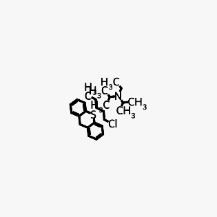 CCCCCCl.CCN(C(C)C)C(C)C.c1ccc2c(c1)Cc1ccccc1S2